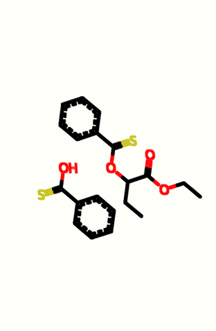 CCOC(=O)C(CC)OC(=S)c1ccccc1.OC(=S)c1ccccc1